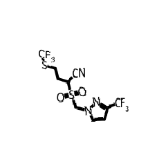 N#CC(CCSC(F)(F)F)S(=O)(=O)Cn1ccc(C(F)(F)F)n1